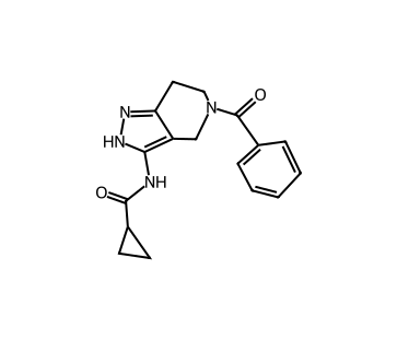 O=C(Nc1[nH]nc2c1CN(C(=O)c1ccccc1)CC2)C1CC1